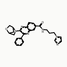 O=C(NCCCn1ccnc1)c1ccc2nc(N3CC4CC3CO4)c(-c3ccccc3)nc2c1